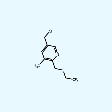 Cc1cc(CCl)cnc1COCC(F)(F)F